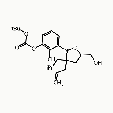 C=CCC1(CC(C)C)CC(CO)ON1c1cccc(OC(=O)OC(C)(C)C)c1C